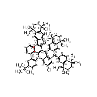 CC(C)(C)c1ccc(N2c3cc(Cl)cc4c3B(c3cc5c(cc3N4c3ccc4c(c3)C(C)(C)CCC4(C)C)C(C)(C)CCC5(C)C)c3c2ccc2c3oc3cc4c(cc32)C(C)(C)CCC4(C)C)c(-c2ccccc2)c1